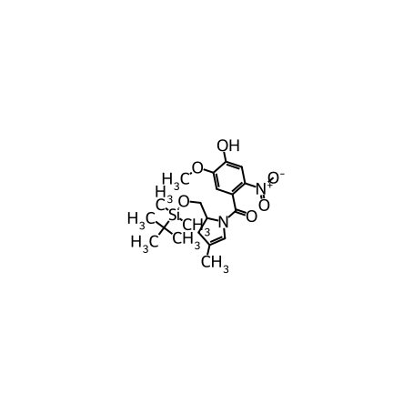 COc1cc(C(=O)N2C=C(C)CC2CO[Si](C)(C)C(C)(C)C)c([N+](=O)[O-])cc1O